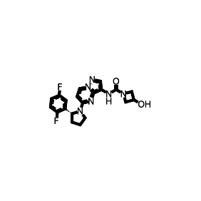 O=C(Nc1cnn2ccc(N3CCC[C@@H]3c3cc(F)ccc3F)nc12)N1CC(O)C1